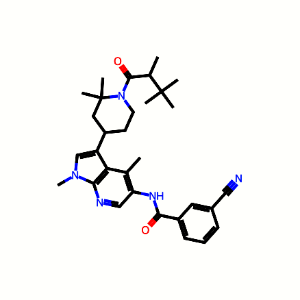 Cc1c(NC(=O)c2cccc(C#N)c2)cnc2c1c(C1CCN(C(=O)C(C)C(C)(C)C)C(C)(C)C1)cn2C